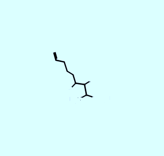 C=CCCCC(F)C(F)C(N)C(=O)O